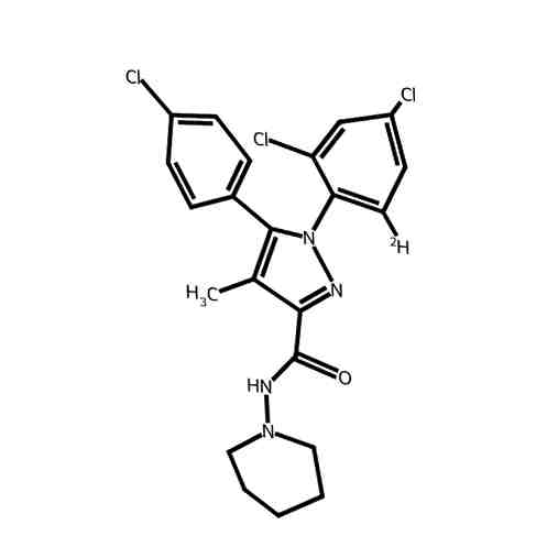 [2H]c1cc(Cl)cc(Cl)c1-n1nc(C(=O)NN2CCCCC2)c(C)c1-c1ccc(Cl)cc1